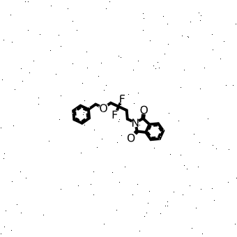 O=C1c2ccccc2C(=O)N1CCC(F)(F)COCc1ccccc1